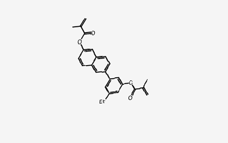 C=C(C)C(=O)Oc1cc(CC)cc(-c2ccc3cc(OC(=O)C(=C)C)ccc3c2)c1